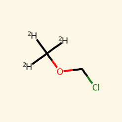 [2H]C([2H])([2H])OCCl